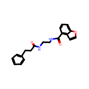 O=C(CCc1ccccc1)NCCNC(=O)c1cccc2occc12